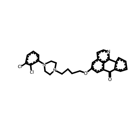 O=C1c2ccccc2-c2nccc3cc(OCCCCN4CCN(c5cccc(Cl)c5Cl)CC4)cc1c23